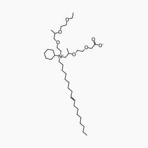 CCCCCCCC/C=C/CCCCCCCC[N+](CCOCC(C)OCCOCC)(CC(C)OCCOCC(=O)[O-])C1CCCCC1